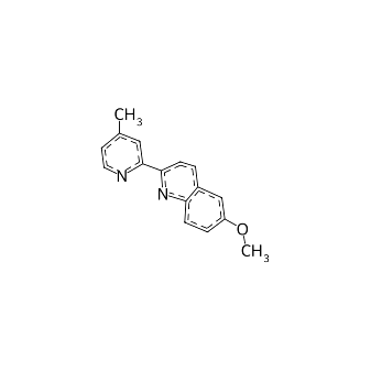 COc1ccc2nc(-c3cc(C)ccn3)ccc2c1